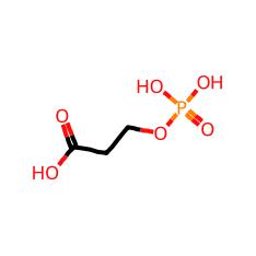 O=C(O)CCOP(=O)(O)O